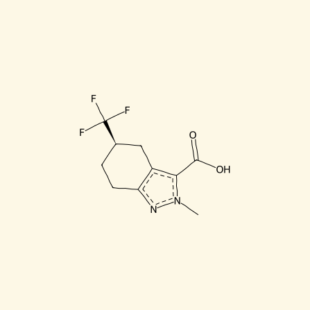 Cn1nc2c(c1C(=O)O)C[C@H](C(F)(F)F)CC2